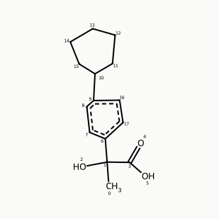 CC(O)(C(=O)O)c1ccc(C2CCCCC2)cc1